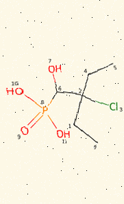 CCC(Cl)(CC)C(O)P(=O)(O)O